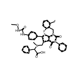 CONC(=O)Nc1ccc(-c2sc3c(c2CN(C)C(C(=O)O)c2ccccc2)c(=O)n(-c2ccccc2)c(=O)n3Cc2c(F)cccc2F)cc1